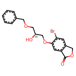 O=C1OCc2cc(Br)c(OC[C@@H](O)COCc3ccccc3)cc21